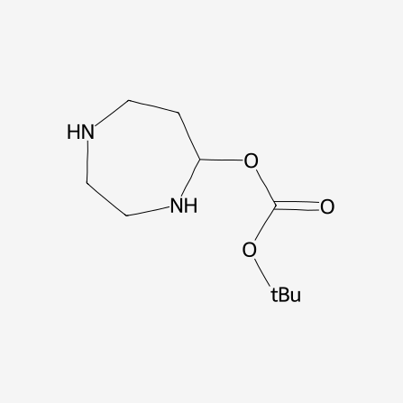 CC(C)(C)OC(=O)OC1CCNCCN1